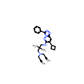 C#CCN(CC#C)CC(C)(C)CNc1nn2c(-c3ccccc3)nnc2cc1C1CCC1